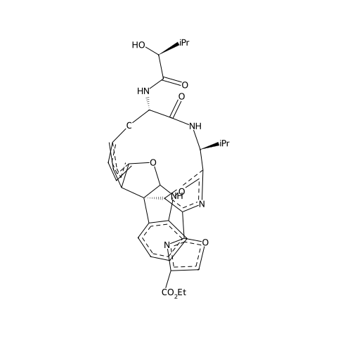 CCOC(=O)c1coc(-c2nc3oc2[C@@]24c5ccccc5NC2Oc2ccc(cc24)C[C@H](NC(=O)[C@@H](O)C(C)C)C(=O)N[C@H]3C(C)C)n1